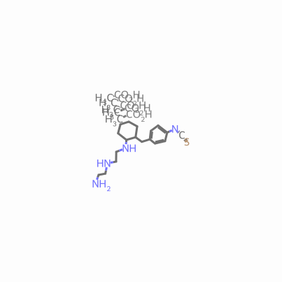 CC(=O)O.CC(=O)O.CC(=O)O.CC(=O)O.CC(=O)O.NCCNCCNC1CCCCC1Cc1ccc(N=C=S)cc1